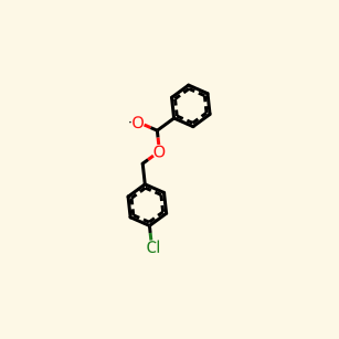 [O]C(OCc1ccc(Cl)cc1)c1ccccc1